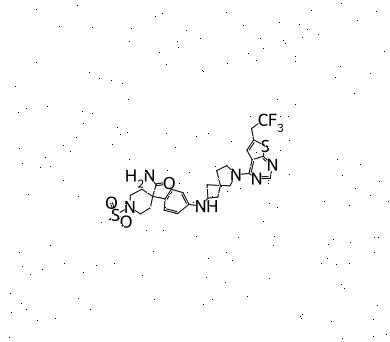 CS(=O)(=O)N1CCC(C(N)=O)(c2ccc(NC3CC4(CCN(c5ncnc6sc(CC(F)(F)F)cc56)C4)C3)cc2)CC1